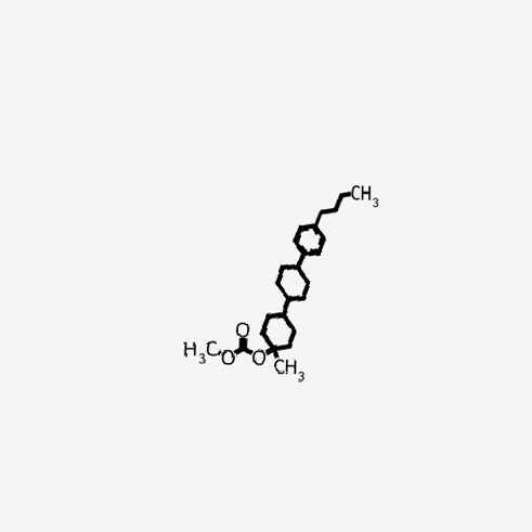 CCCCc1ccc(C2CCC(C3CCC(C)(OC(=O)OC)CC3)CC2)cc1